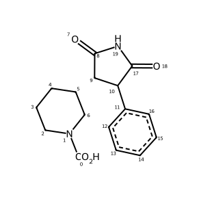 O=C(O)N1CCCCC1.O=C1CC(c2ccccc2)C(=O)N1